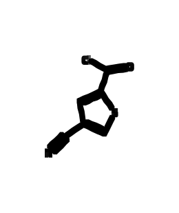 N#Cc1csc(C(=O)Cl)c1